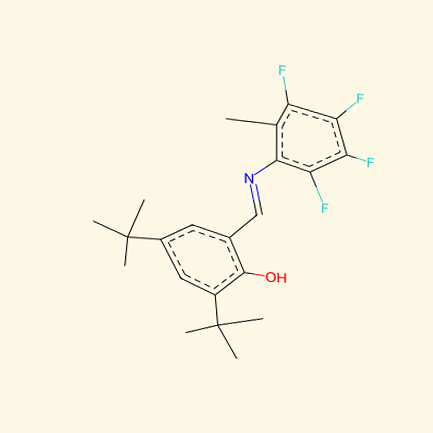 Cc1c(F)c(F)c(F)c(F)c1/N=C/c1cc(C(C)(C)C)cc(C(C)(C)C)c1O